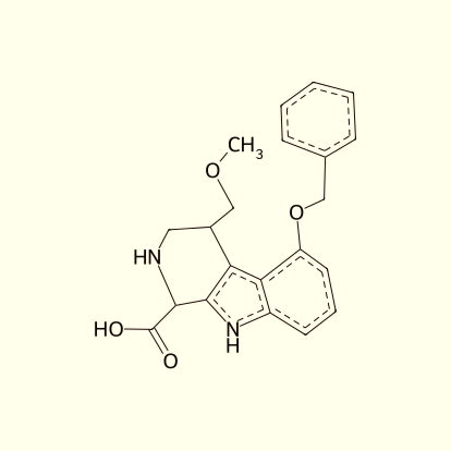 COCC1CNC(C(=O)O)c2[nH]c3cccc(OCc4ccccc4)c3c21